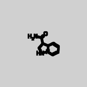 NC(=O)C1CNN2C=CC=CC12